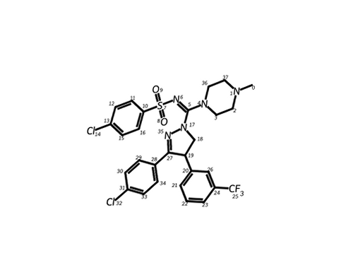 CN1CCN(C(=NS(=O)(=O)c2ccc(Cl)cc2)N2CC(c3cccc(C(F)(F)F)c3)C(c3ccc(Cl)cc3)=N2)CC1